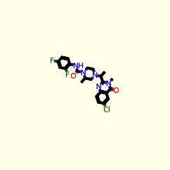 CC(c1nc2ccc(Cl)cc2c(=O)n1C)N1CCN(C(=O)Nc2ccc(F)cc2F)C(C)C1